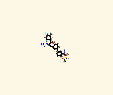 NC1Cc2cc(-c3cccc(NS(=O)(=O)CC(F)(F)F)c3)ccc2OC1c1cc(F)c(F)cc1F